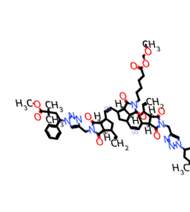 C=CC1CC(/C=C\C2CC(/C=C\C3CC(C=C)[C@@H]4C(=O)N(Cc5cn(C(CC(C)(C)C(=O)OC)c6ccccc6)nn5)C(=O)[C@H]34)[C@@H]3C(=O)N(CCCCCC(=O)OCOC)C(=O)[C@H]23)[C@@H]2C(=O)N(Cc3cn(C(CC(C)(C)C(=O)OC)c4ccccc4)nn3)C(=O)[C@H]12